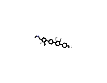 C/C=C\Cc1ccc(-c2ccc(-c3ccc(C4CCC(CC)CC4)c(F)c3F)cc2)c(F)c1F